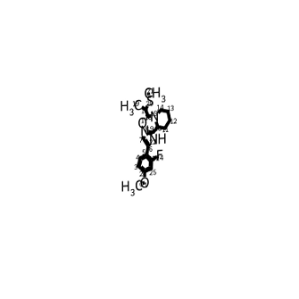 COc1ccc(-c2cnc(C3CCCCN3C(=O)C(C)SC)[nH]2)c(F)c1